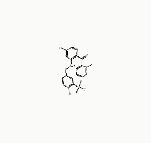 Cc1ccccc1C(=O)c1ncc(Cl)cc1NSc1ccc(Cl)c(C(F)(F)F)c1